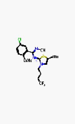 COc1ccc(Cl)cc1C(=NC#N)/N=c1\sc(C(C)(C)C)cn1CCCC(F)(F)F